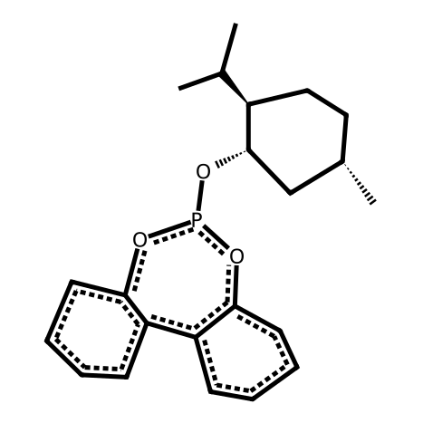 CC(C)[C@H]1CC[C@H](C)C[C@@H]1Op1oc2ccccc2c2ccccc2o1